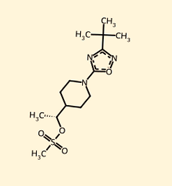 C[C@@H](OS(C)(=O)=O)C1CCN(c2nc(C(C)(C)C)no2)CC1